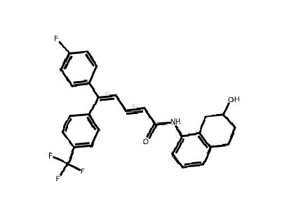 O=C(/C=C/C=C(/c1ccc(F)cc1)c1ccc(C(F)(F)F)cc1)Nc1cccc2c1CC(O)CC2